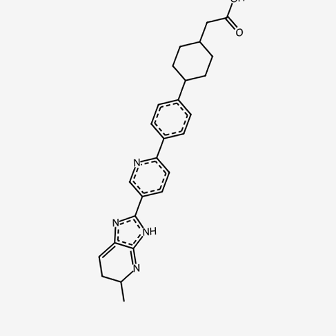 CC1CC=c2nc(-c3ccc(-c4ccc(C5CCC(CC(=O)O)CC5)cc4)nc3)[nH]c2=N1